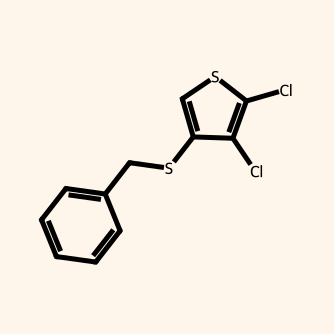 Clc1scc(SCc2ccccc2)c1Cl